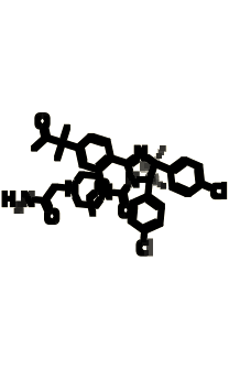 CCOc1cc(C(C)(C)C(C)=O)ccc1C1=N[C@@](C)(c2ccc(Cl)cc2)[C@@](C)(c2ccc(Cl)cc2)N1C(=O)N1CCN(CC(N)=O)CC1